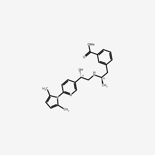 COC(=O)c1cccc(C[C@@H](C)NC[C@@H](O)c2ccc(-n3c(C)ccc3C)nc2)c1